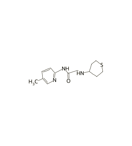 Cc1ccc(NC(=O)CNC2CCSCC2)nc1